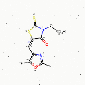 Cc1nc(/C=C2/SC(=S)N(CC(=O)O)C2=O)c(C)o1